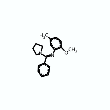 COc1ccc(C)cc1N=C(c1ccccc1)N1CCCC1